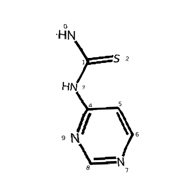 [NH]C(=S)Nc1ccncn1